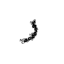 N#Cc1ccc(O[C@H]2CC[C@H](NC(=O)c3ccc(N4CCC(CN5CCC(n6ccc7c(N8CCC(=O)NC8=O)cccc76)CC5)CC4)c(F)c3)CC2)cc1Cl